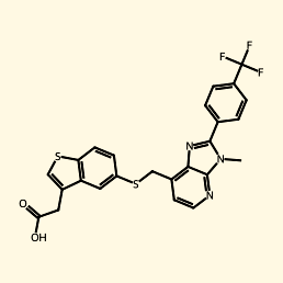 Cn1c(-c2ccc(C(F)(F)F)cc2)nc2c(CSc3ccc4scc(CC(=O)O)c4c3)ccnc21